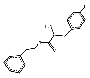 NC(Cc1ccc(F)cc1)C(=O)NCCc1ccccc1